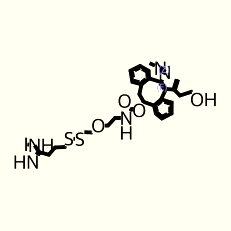 C=C(CCO)/C1=C(\N=N/C)c2ccccc2CC(OC(=O)NCCOCCSSCCCC(=N)NI)c2ccccc21